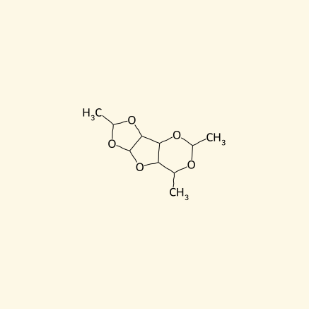 CC1OC2OC3C(C)OC(C)OC3C2O1